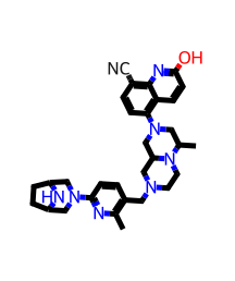 Cc1nc(N2CC3CCC(C2)N3)ccc1CN1CCN2C(C)CN(c3ccc(C#N)c4nc(O)ccc34)CC2C1